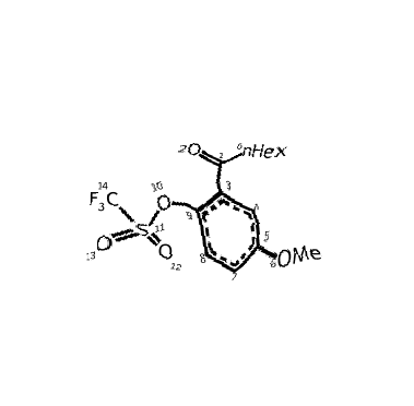 CCCCCCC(=O)c1cc(OC)ccc1OS(=O)(=O)C(F)(F)F